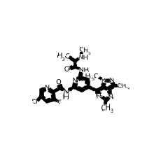 CNC(C)C(=O)Nc1cc(-c2nc(C)nc3c(C)nn(C)c23)cc(NC(=O)c2ncc(Cl)cc2F)n1